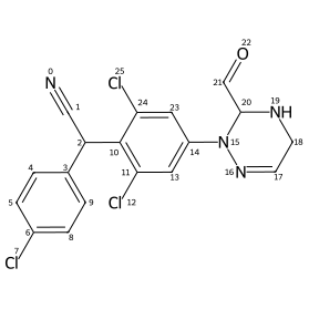 N#CC(c1ccc(Cl)cc1)c1c(Cl)cc(N2N=CCNC2C=O)cc1Cl